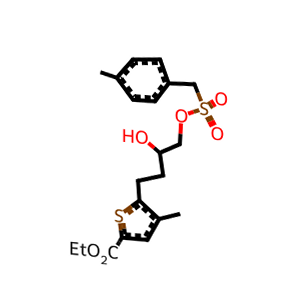 CCOC(=O)c1cc(C)c(CCC(O)COS(=O)(=O)Cc2ccc(C)cc2)s1